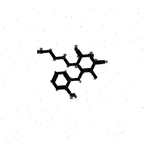 Cc1c(Sc2ccccc2[N+](=O)[O-])n(COCCO)c(=O)[nH]c1=O